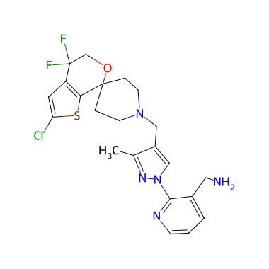 Cc1nn(-c2ncccc2CN)cc1CN1CCC2(CC1)OCC(F)(F)c1cc(Cl)sc12